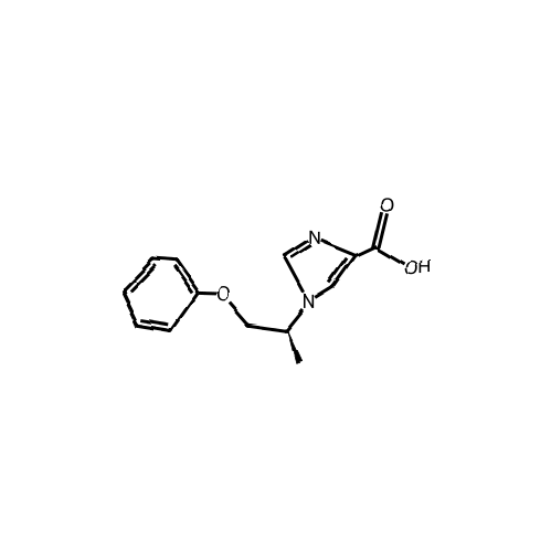 C[C@@H](COc1ccccc1)n1cnc(C(=O)O)c1